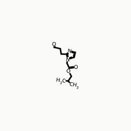 CC(C)COC(=O)Cn1ccnc1CCC=O